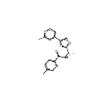 Cc1ccc(C(=O)N[C@@H](C)c2nc(-c3ccnc(C)c3)no2)nc1